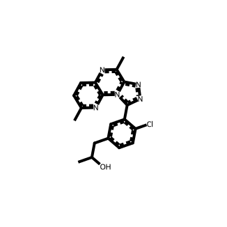 Cc1ccc2nc(C)c3nnc(-c4cc(CC(C)O)ccc4Cl)n3c2n1